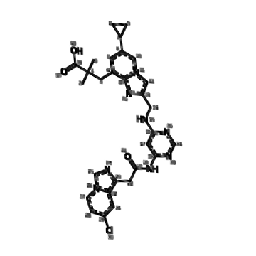 CC(C)(Cc1cc(C2CC2)cn2cc(CNc3cc(NC(=O)Cc4ncn5ccc(Cl)cc45)ncn3)nc12)C(=O)O